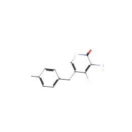 Nc1c(Cc2ccc(C(F)(F)F)cc2)c[nH]c(=O)c1N